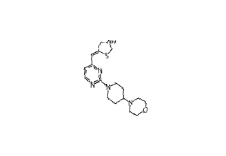 C(=C1\CNCS1)/c1ccnc(N2CCC(N3CCOCC3)CC2)n1